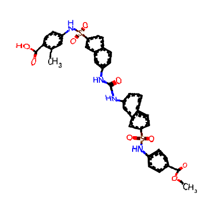 COC(=O)c1ccc(NS(=O)(=O)c2ccc3ccc(NC(=O)Nc4ccc5ccc(S(=O)(=O)Nc6ccc(C(=O)O)c(C)c6)cc5c4)cc3c2)cc1